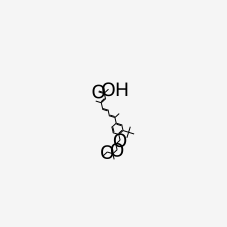 COC(C)OCOc1ccc(C(C)=CC=CC(C)=CC(=O)O)cc1C(C)(C)C